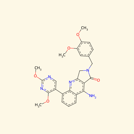 COc1ncc(-c2cccc3c(N)c4c(nc23)CN(Cc2ccc(OC)c(OC)c2)C4=O)c(OC)n1